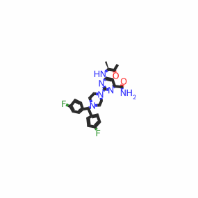 CC(=O)[C@H](C)Nc1cc(C(N)=O)nc(N2CCN(C(c3ccc(F)cc3)c3ccc(F)cc3)CC2)n1